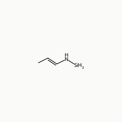 CC=CN[SiH3]